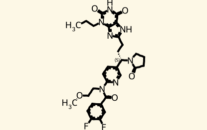 CCCn1c(=O)[nH]c(=O)c2[nH]c(CC[C@@H](c3ccc(N(CCOC)C(=O)c4ccc(F)c(F)c4)nc3)N3CCCC3=O)nc21